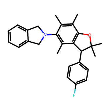 Cc1c(C)c(N2Cc3ccccc3C2)c(C)c2c1OC(C)(C)C2c1ccc(F)cc1